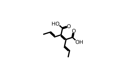 CC=C/C(C(=O)O)=C(\C=CC)C(=O)O